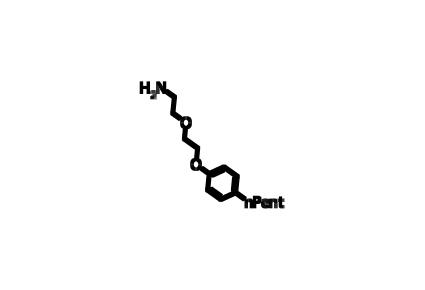 CCCCCc1ccc(OCCOCCN)cc1